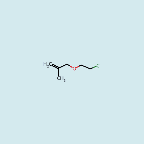 C=C(C)COCCCl